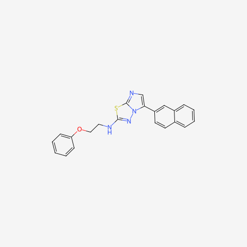 c1ccc(OCCNc2nn3c(-c4ccc5ccccc5c4)cnc3s2)cc1